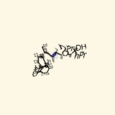 CCCC(O)(CCC)COC/C=C/C(C)[C@H]1CC[C@H]2C(=O)CCC[C@]12C